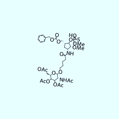 CO[C@H]1C(OP(O)(=S)OC)[C@@H](COC(=O)OCc2ccccc2)C[C@H]1NC(=O)CCCCO[C@@H]1O[C@H](COC(C)=O)[C@H](OC(C)=O)[C@H](OC(C)=O)[C@H]1NC(C)=O